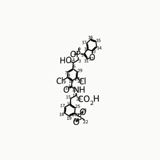 CP(=O)(CC(O)c1cc(Cl)c(C(=O)N[C@@H](Cc2cccc(S(C)(=O)=O)c2)C(=O)O)c(Cl)c1)c1coc2ccccc12